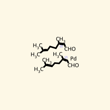 CC(C)=CCC/C(C)=C\C=O.CC(C)=CCC/C(C)=C\C=O.[Pd]